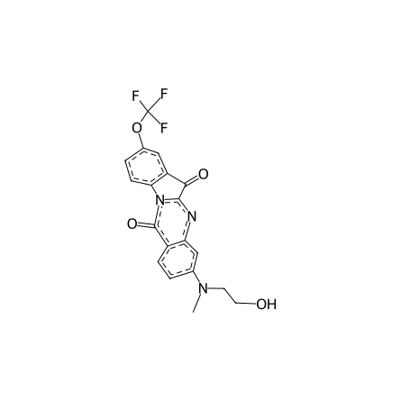 CN(CCO)c1ccc2c(=O)n3c(nc2c1)C(=O)c1cc(OC(F)(F)F)ccc1-3